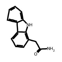 NC(=O)Cc1cccc2c1[nH]c1ccccc12